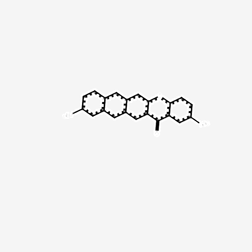 CCCCc1ccc2cc3cc4sc5ccc(CCCC)cc5c(=O)c4cc3cc2c1